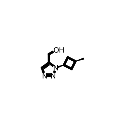 C[C@H]1C[C@@H](n2nncc2CO)C1